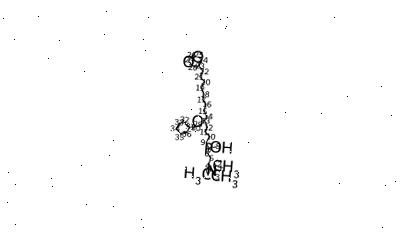 C[N+](C)(C)CCCP(O)CCCCC(CCCCCCCCCC1=COCOC1)OCc1ccccc1